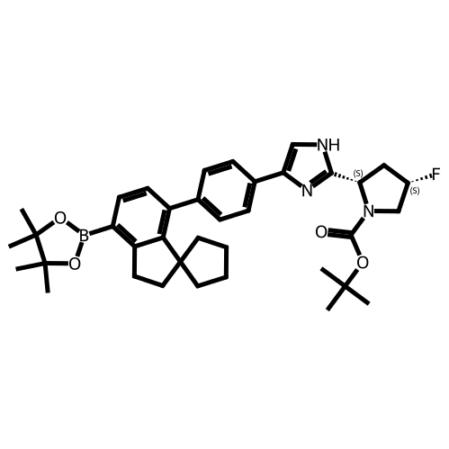 CC(C)(C)OC(=O)N1C[C@@H](F)C[C@H]1c1nc(-c2ccc(-c3ccc(B4OC(C)(C)C(C)(C)O4)c4c3C3(CCCC3)CC4)cc2)c[nH]1